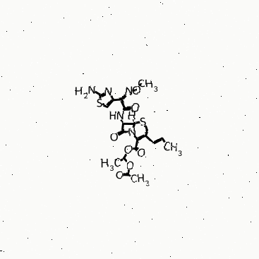 C/C=C/C1=C(C(=O)OC(C)OC(C)=O)N2C(=O)[C@@H](NC(=O)/C(=N\OC)c3csc(N)n3)[C@H]2SC1